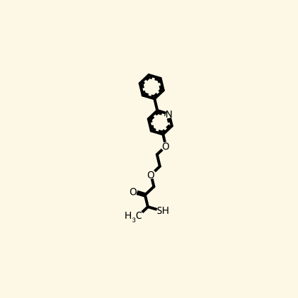 CC(S)C(=O)COCCOc1ccc(-c2ccccc2)nc1